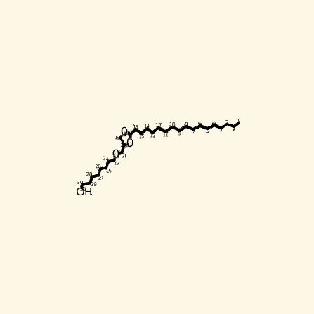 CCCCCCCCCCCCCCCCCC1OCC(COCCCCCCCCO)O1